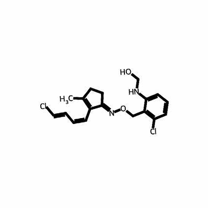 CC1=C(/C=C\C=C\Cl)/C(=N/OCc2c(Cl)cccc2NCO)CC1